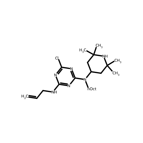 C=CCNc1nc(Cl)nc(N(CCCCCCCC)C2CC(C)(C)NC(C)(C)C2)n1